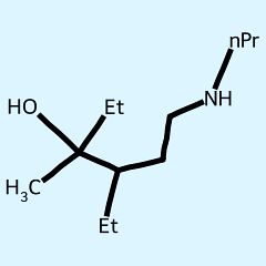 CCCNCCC(CC)C(C)(O)CC